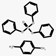 Cc1ccc(P)cc1.O=P(Oc1ccccc1)(Oc1ccccc1)Oc1ccccc1